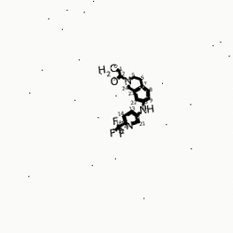 C=CC(=O)N1CCc2ccc(Nc3ccc(C(F)(F)F)nc3)cc2C1